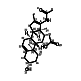 CC(=O)NC1=C(C)C[C@H]2[C@@H]3CC=C4C[C@@H](O)CC[C@]4(C)[C@H]3CC[C@]12C.CC(=O)O